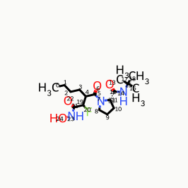 CCCCC(C(=O)N1CCC[C@H]1C(=O)NC(C)(C)C)C(F)C(=O)NO